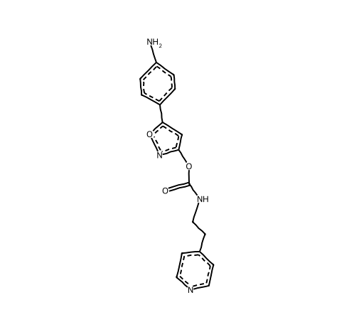 Nc1ccc(-c2cc(OC(=O)NCCc3ccncc3)no2)cc1